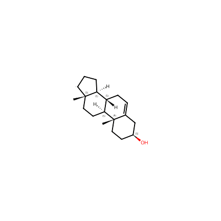 C[C@@]12[CH]CC[C@H]1[C@@H]1CC=C3C[C@@H](O)CC[C@]3(C)[C@H]1CC2